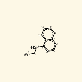 CC(C)C[SiH]c1cccc2ccccc12